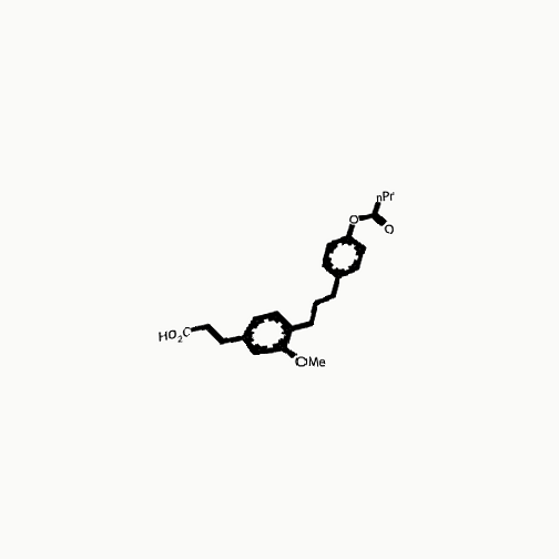 CCCC(=O)Oc1ccc(CCCc2ccc(CCC(=O)O)cc2OC)cc1